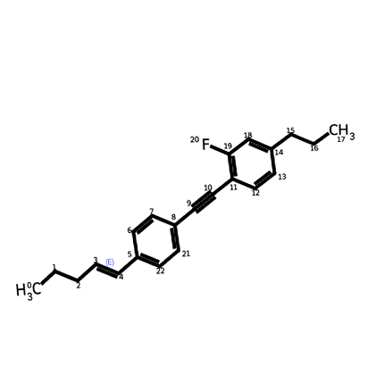 CCC/C=C/c1ccc(C#Cc2ccc(CCC)cc2F)cc1